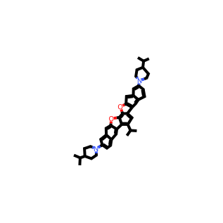 CC(C)c1cc2c3cc4ccc(N5CCC(C(C)C)CC5)cc4cc3oc2c2oc3cc4cc(N5CCC(C(C)C)CC5)ccc4cc3c12